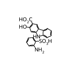 Nc1ccccc1S(=O)(=O)O.O=C(O)c1cc2c(cc1O)[nH]c1ccccc12